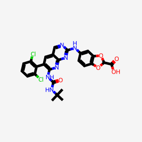 CC(C)(C)NC(=O)Nc1nc2nc(Nc3ccc4c(c3)OC(C(=O)O)O4)ncc2cc1-c1c(Cl)cccc1Cl